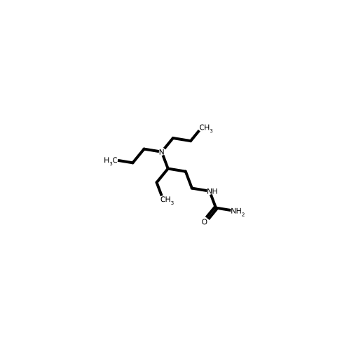 CCCN(CCC)C(CC)CCNC(N)=O